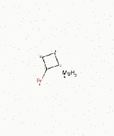 BrC1CCC1.[MgH2]